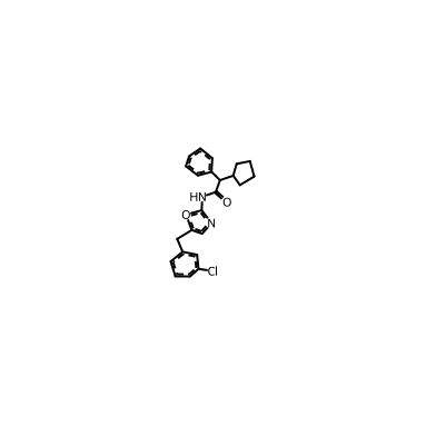 O=C(Nc1ncc(Cc2cccc(Cl)c2)o1)C(c1ccccc1)C1CCCC1